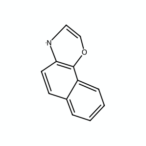 C1=COc2c(ccc3ccccc23)[N]1